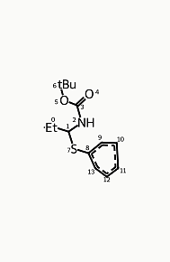 C[CH]C(NC(=O)OC(C)(C)C)Sc1ccccc1